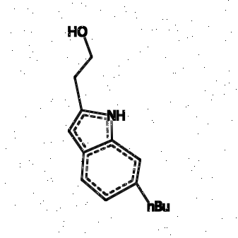 CCCCc1ccc2cc(CCO)[nH]c2c1